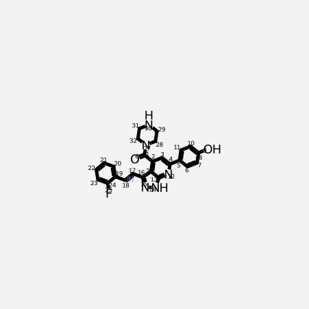 O=C(c1cc(-c2ccc(O)cc2)nc2[nH]nc(/C=C/c3ccccc3F)c12)N1CCNCC1